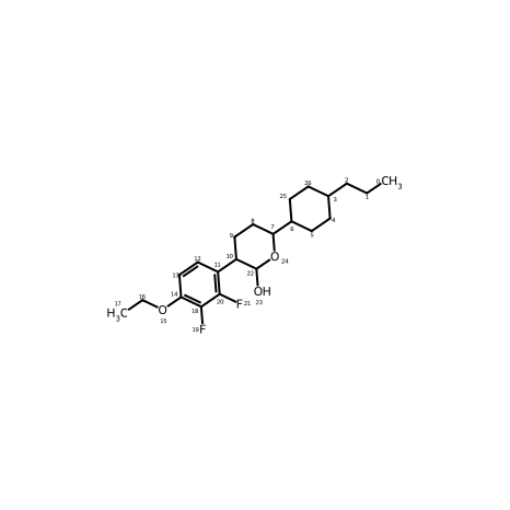 CCCC1CCC(C2CCC(c3ccc(OCC)c(F)c3F)C(O)O2)CC1